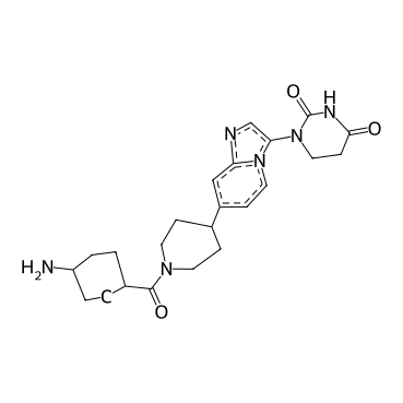 NC1CCC(C(=O)N2CCC(c3ccn4c(N5CCC(=O)NC5=O)cnc4c3)CC2)CC1